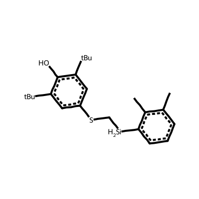 Cc1cccc([SiH2]CSc2cc(C(C)(C)C)c(O)c(C(C)(C)C)c2)c1C